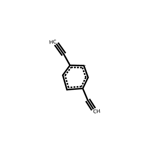 C#Cc1[c]cc(C#C)cc1